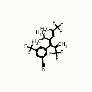 C=C(/C(=C(\C=C(/C)C(F)(F)F)C(C)C)c1cc(C#N)cc(C(F)(F)F)c1)C(F)(F)F